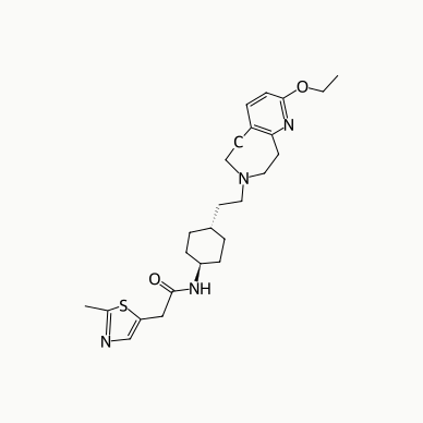 CCOc1ccc2c(n1)CCN(CC[C@H]1CC[C@H](NC(=O)Cc3cnc(C)s3)CC1)CC2